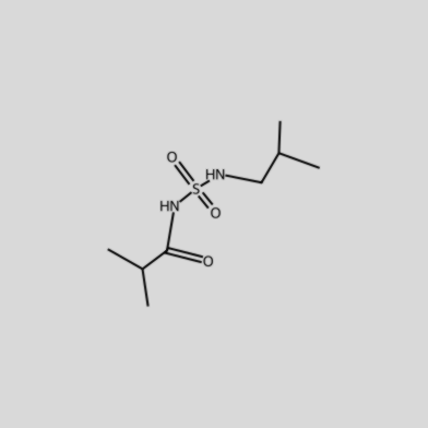 CC(C)CNS(=O)(=O)NC(=O)C(C)C